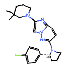 CC1(C)CCCN(c2[c]n3nc(N4CCC[C@@H]4c4ccc(F)cc4)ccc3n2)C1